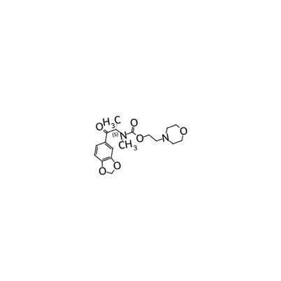 C[C@@H](C(=O)c1ccc2c(c1)OCO2)N(C)C(=O)OCCN1CCOCC1